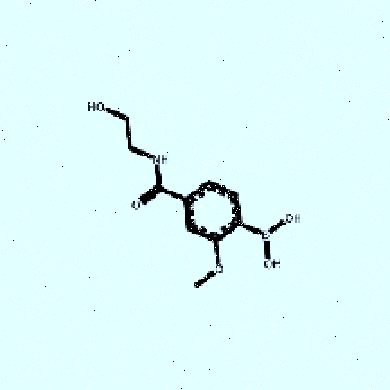 COc1cc(C(=O)NCCO)ccc1B(O)O